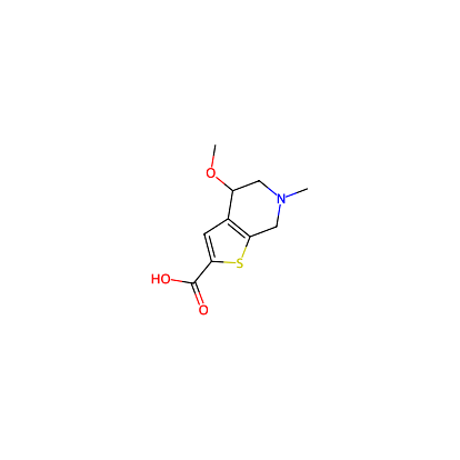 COC1CN(C)Cc2sc(C(=O)O)cc21